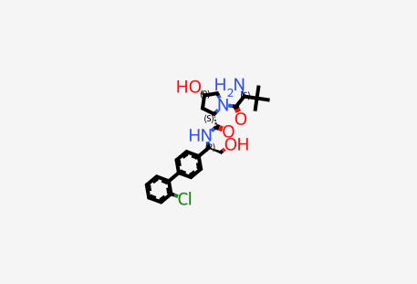 CC(C)(C)[C@H](N)C(=O)N1C[C@H](O)C[C@H]1C(=O)N[C@@H](CO)c1ccc(-c2ccccc2Cl)cc1